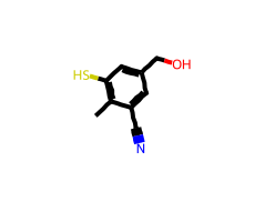 Cc1c(S)cc(CO)cc1C#N